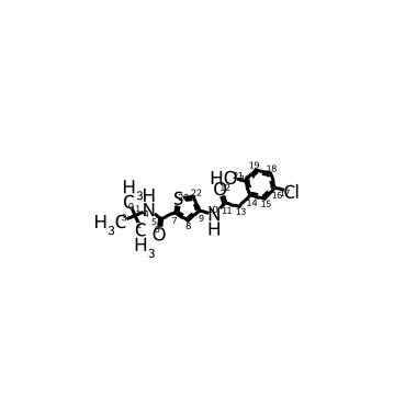 CC(C)(C)NC(=O)c1cc(NC(=O)Cc2cc(Cl)ccc2O)cs1